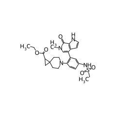 CCOC(=O)C1CC12CCN(c1ccc(NS(=O)(=O)CC)cc1-c1cn(C)c(=O)c3[nH]ccc13)CC2